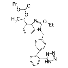 CCOc1nc2c(C(C)OC(=O)OC(C)C)cccc2n1Cc1ccc(-c2ccccc2-c2nnn[nH]2)cc1